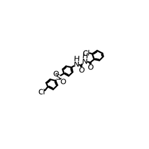 O=C(NC(=O)c1ccccc1Cl)Nc1ccc(S(=O)(=O)c2ccc(Cl)cc2)cc1